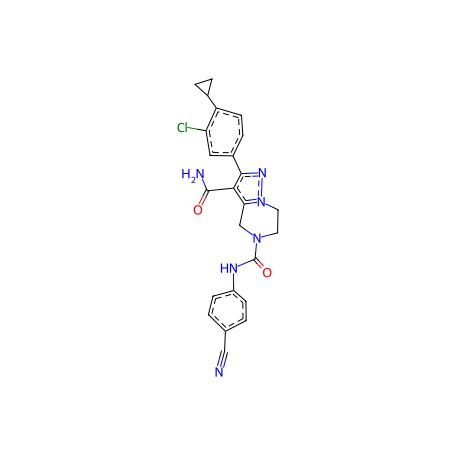 N#Cc1ccc(NC(=O)N2CCn3nc(-c4ccc(C5CC5)c(Cl)c4)c(C(N)=O)c3C2)cc1